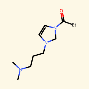 CCC(=O)N1C=CN(CCCN(C)C)C1